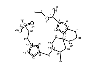 [2H]C(OCC)c1cc2c(s1)C1(CCN(Cc3cnn(CCS(C)(=O)=O)c3)C(C)C1)OCC2